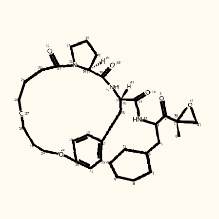 C[C@]1(C(=O)C(CC2CCCCC2)NC(=O)[C@@H]2Cc3ccc(cc3)OCCCCCCCC(=O)N3CCC[C@H]3C(=O)N2)CO1